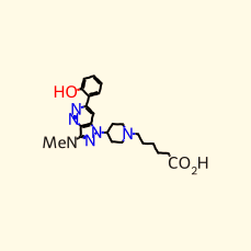 CNc1nn(C2CCN(CCCCCC(=O)O)CC2)c2cc(-c3ccccc3O)nnc12